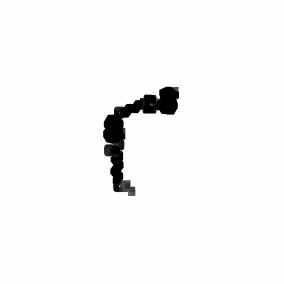 CCCCCCOC(=O)Oc1ccc2ccc(OCCCCN3CCN(c4cccc5sccc45)CC3)cc2n1